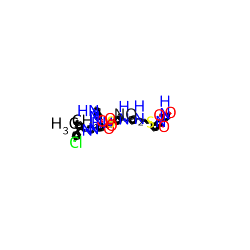 CC1(C)CCC(CN2CCN(c3ccc(C(=O)NS(=O)(=O)c4ccc(NC[C@H]5CC[C@H](NCCCSc6cccc7c6CN(C6CCC(=O)NC6=O)C7=O)CC5)c([N+](=O)[O-])c4)c(Oc4cnc5[nH]ccc5c4)c3)CC2)=C(c2ccc(Cl)cc2)C1